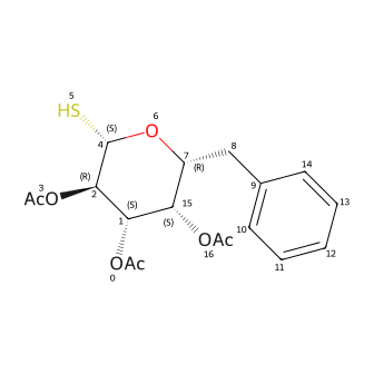 CC(=O)O[C@@H]1[C@@H](OC(C)=O)[C@H](S)O[C@H](Cc2ccccc2)[C@@H]1OC(C)=O